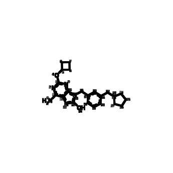 Nc1nc(OC2CCC2)nc2c1nc(O)n2Cc1cccc(CN2CCCC2)c1